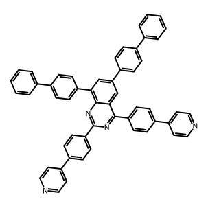 c1ccc(-c2ccc(-c3cc(-c4ccc(-c5ccccc5)cc4)c4nc(-c5ccc(-c6ccncc6)cc5)nc(-c5ccc(-c6ccncc6)cc5)c4c3)cc2)cc1